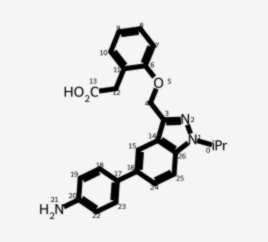 CC(C)n1nc(COc2ccccc2CC(=O)O)c2cc(-c3ccc(N)cc3)ccc21